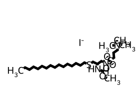 CCCCCCCCCCCCCCCCSCC(CNS(=O)(=O)CCC[N+](C)(C)C)NC(=O)OC.[I-]